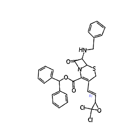 O=C(OC(c1ccccc1)c1ccccc1)C1=C(/C=C/C2OC2(Cl)Cl)CSC2C(NCc3ccccc3)C(=O)N12